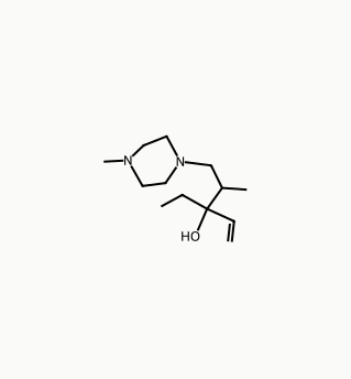 C=CC(O)(CC)C(C)CN1CCN(C)CC1